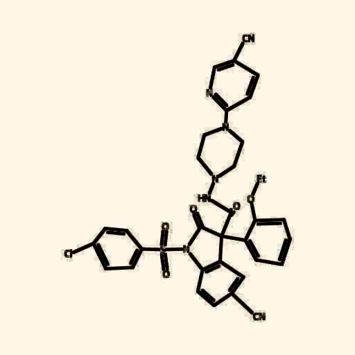 CCOc1ccccc1C1(C(=O)NN2CCN(c3ccc(C#N)cn3)CC2)C(=O)N(S(=O)(=O)c2ccc(Cl)cc2)c2ccc(C#N)cc21